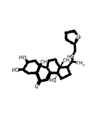 CC(NCC1CCCO1)C1CC[C@@]2(O)C3=CC(=O)C4CC(O)C(O)CC4(C)C3CC[C@]12C